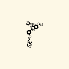 CCOc1ccc2nc(-c3cccc(OCCCN4CCOCC4C)c3)nc(NC3CCOC3)c2c1